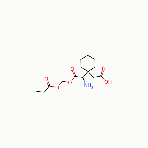 CCC(=O)OCOC(=O)C(N)C1(CC(=O)O)CCCCC1